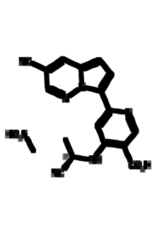 CS(=O)(=O)O.C[C@H](C#N)Nc1cc(-c2ccc3cc(C#N)cnn23)ncc1C(=O)O